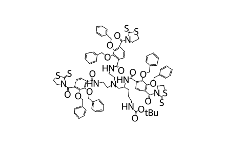 CC(C)(C)OC(=O)NCCCC(CN(CCNC(=O)c1ccc(C(=O)N2CCSC2=S)c(OCc2ccccc2)c1OCc1ccccc1)CCNC(=O)c1ccc(C(=O)N2CCSC2=S)c(OCc2ccccc2)c1OCc1ccccc1)NC(=O)c1ccc(C(=O)N2CCSC2=S)c(OCc2ccccc2)c1OCc1ccccc1